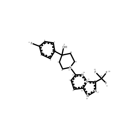 OC1(c2ccc(F)cc2)CCN(c2ccc3nnc(C(F)(F)F)n3n2)CC1